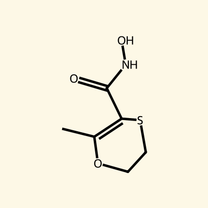 CC1=C(C(=O)NO)SCCO1